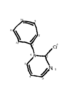 ClC1N=CC=CN1c1ccccc1